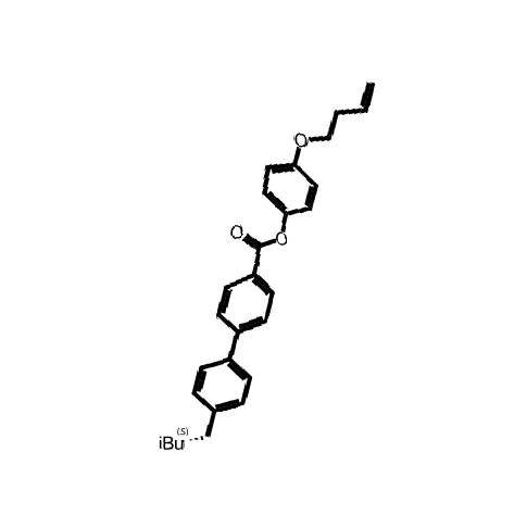 C=CCCOc1ccc(OC(=O)c2ccc(-c3ccc(C[C@@H](C)CC)cc3)cc2)cc1